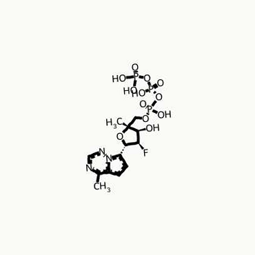 Cc1ncnn2c([C@@H]3O[C@](C)(COP(=O)(O)OP(=O)(O)OP(=O)(O)O)[C@@H](O)[C@H]3F)ccc12